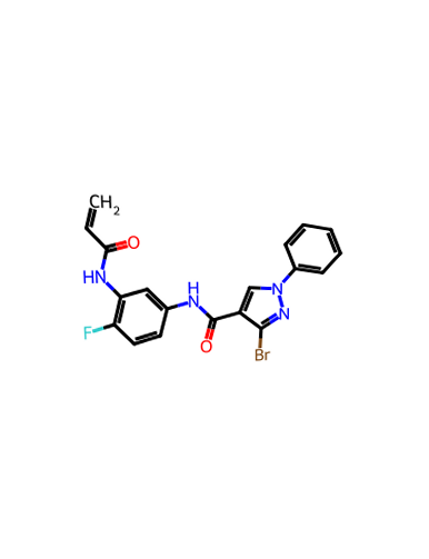 C=CC(=O)Nc1cc(NC(=O)c2cn(-c3ccccc3)nc2Br)ccc1F